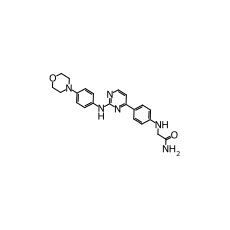 NC(=O)CNc1ccc(-c2ccnc(Nc3ccc(N4CCOCC4)cc3)n2)cc1